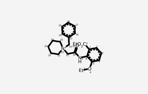 CCOC(=O)c1cccc(OCC)c1NC(=O)C[N+]1(Cc2ccccc2)CCCCC1